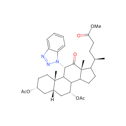 COC(=O)CC[C@@H](C)C1CCC2C3C([C@H](n4nnc5ccccc54)C(=O)[C@@]21C)[C@@]1(C)CC[C@@H](OC(C)=O)C[C@H]1C[C@H]3OC(C)=O